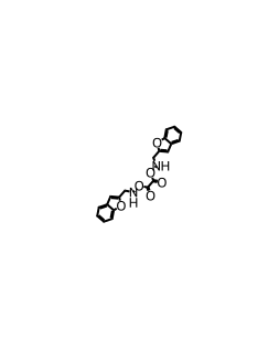 O=C(ONCc1cc2ccccc2o1)C(=O)ONCc1cc2ccccc2o1